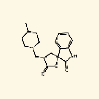 CC1CCN(CC2CC3(OC2=O)C(=O)Nc2ccccc23)CC1